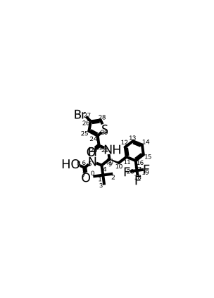 CC(C)(C)C(NC(=O)O)[C@H](Cc1ccccc1C(F)(F)F)NC(=O)c1cc(Br)cs1